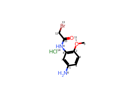 COc1ccc(N)cc1NC(=O)CBr.Cl